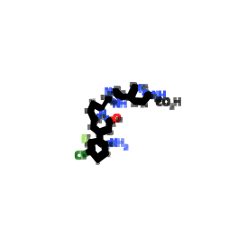 Nc1ccc(Cl)c(F)c1C1=CC(=O)N2C(CC[C@H]2c2ncc(-c3ccc(NC(=O)O)nc3)[nH]2)C1